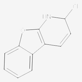 ClC1C=Cc2c(oc3ccccc23)N1